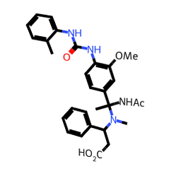 COc1cc(C(C)(NC(C)=O)N(C)C(CC(=O)O)c2ccccc2)ccc1NC(=O)Nc1ccccc1C